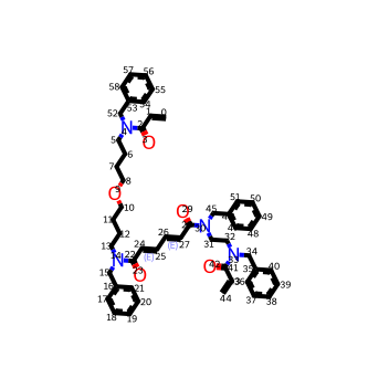 C=CC(=O)N(CCCCOCCCCN(Cc1ccccc1)C(=O)/C=C/C=C/C(=O)N(CCN(Cc1ccccc1)C(=O)C=C)Cc1ccccc1)Cc1ccccc1